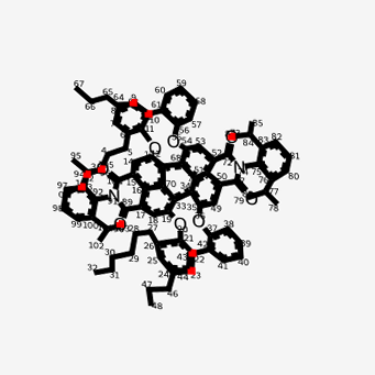 CCCCCCc1ccccc1Oc1cc2c3c(cc(Oc4ccccc4CCCCCC)c4c5c(Oc6ccccc6CCCCCC)cc6c7c(cc(Oc8ccccc8CCCCCC)c(c1c34)c75)C(=O)N(c1c(C(C)C)cccc1C(C)C)C6=O)C(=O)N(c1c(C(C)C)cccc1C(C)C)C2=O